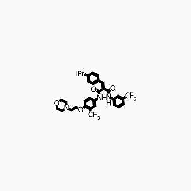 CC(C)c1ccc(C=C(C(=O)Nc2cccc(C(F)(F)F)c2)C(=O)Nc2ccc(OCCN3CCOCC3)c(C(F)(F)F)c2)cc1